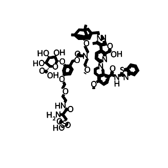 COCCN(CCOC12CC3(C)CC(C)(CC(Cn4ncc(-c5ccc(N6CCc7c(OC)ccc(C(=O)Nc8nc9ccccc9s8)c7C6)nc5C(=O)O)c4C)(C3)C1)C2)C(=O)OCc1ccc(OCCOCCNC(=O)C(N)CS(=O)(=O)O)cc1O[C@@H]1O[C@H](C(=O)O)[C@@H](O)[C@H](O)[C@H]1O